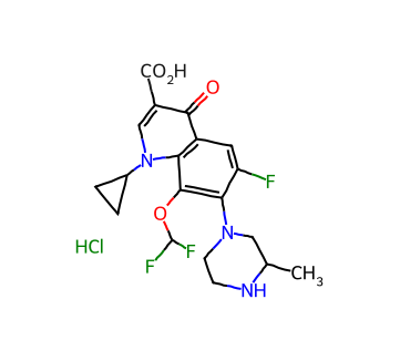 CC1CN(c2c(F)cc3c(=O)c(C(=O)O)cn(C4CC4)c3c2OC(F)F)CCN1.Cl